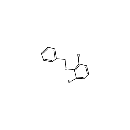 Clc1cccc(Br)c1OCc1ccccc1